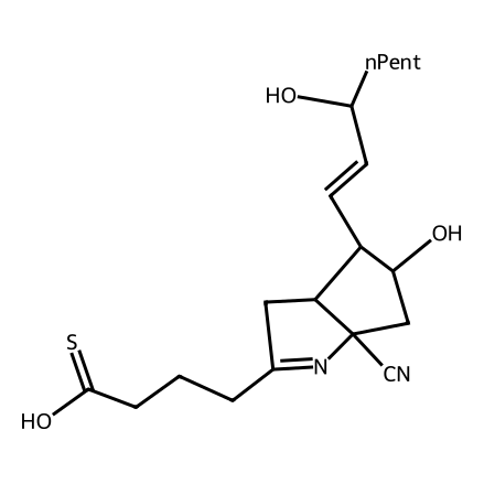 CCCCCC(O)C=CC1C(O)CC2(C#N)N=C(CCCC(O)=S)CC12